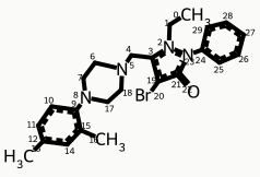 CCn1c(CN2CCN(c3ccc(C)cc3C)CC2)c(Br)c(=O)n1-c1ccccc1